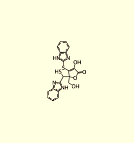 O=C1OC(CO)(C(S)c2nc3ccccc3[nH]2)C(Sc2nc3ccccc3[nH]2)=C1O